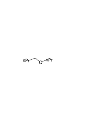 [CH2]CCCOC[CH]C